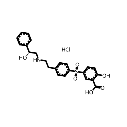 Cl.O=C(O)c1cc(S(=O)(=O)c2ccc(CCNC[C@H](O)c3ccccc3)cc2)ccc1O